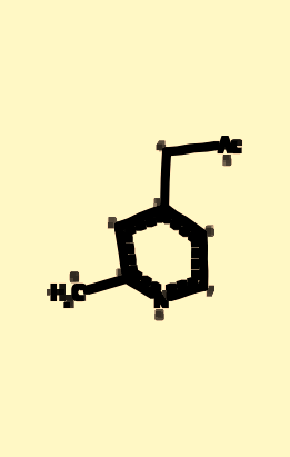 [CH2]c1cc(CC(C)=O)ccn1